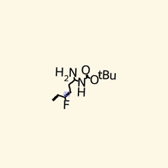 C=C/C(F)=C\CC(N)NC(=O)OC(C)(C)C